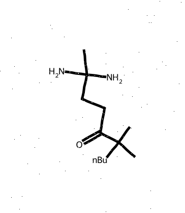 CCCCC(C)(C)C(=O)CCC(C)(N)N